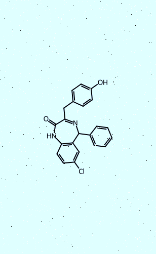 O=C1Nc2ccc(Cl)cc2C(c2ccccc2)N=C1Cc1ccc(O)cc1